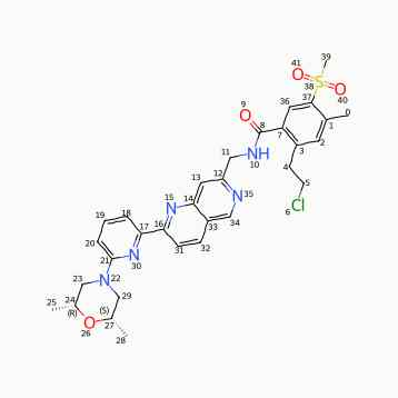 Cc1cc(CCCl)c(C(=O)NCc2cc3nc(-c4cccc(N5C[C@@H](C)O[C@@H](C)C5)n4)ccc3cn2)cc1S(C)(=O)=O